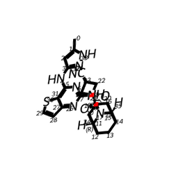 Cc1cc(Nc2nc(N[C@@H]3C[C@H]4CCC[C@@H](C3)N4S(=O)(=O)N3CC(C#N)C3)nc3ccsc23)n[nH]1